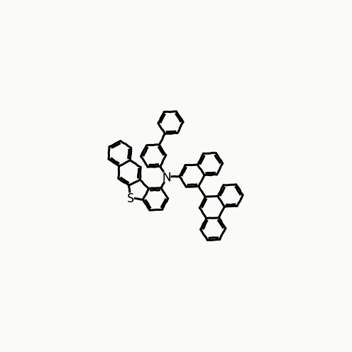 c1ccc(-c2cccc(N(c3cc(-c4cc5ccccc5c5ccccc45)c4ccccc4c3)c3cccc4sc5cc6ccccc6cc5c34)c2)cc1